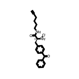 C#CCCCCNC(=O)[C@H](Cc1ccc(C(=O)c2ccccc2)cc1)NCl